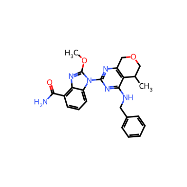 COc1nc2c(C(N)=O)cccc2n1-c1nc2c(c(NCc3ccccc3)n1)C(C)COC2